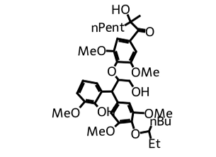 CCCCCC(C)(O)C(=O)c1cc(OC)c(OC(CO)C(c2cc(OC)c(OC(CC)CCCC)c(OC)c2)c2cccc(OC)c2O)c(OC)c1